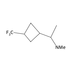 CNC(C)C1CC(C(F)(F)F)C1